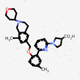 Cc1ccc(OCc2cc(C)c3c(c2)CCN(C2CCOCC2)C3)c(-c2cccc(N3CCC(C(=O)O)C3)n2)c1